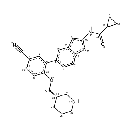 N#Cc1cc(-c2ccn3nc(NC(=O)C4CC4)cc3c2)c(OC[C@@H]2CCCNC2)cn1